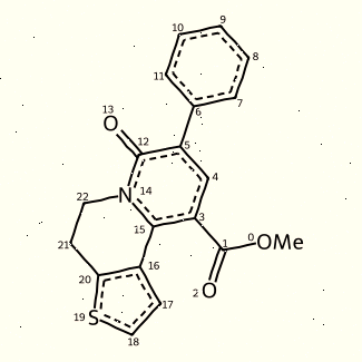 COC(=O)c1cc(-c2ccccc2)c(=O)n2c1-c1ccsc1CC2